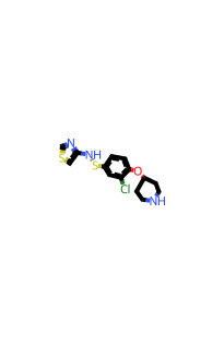 Clc1cc(SNc2cscn2)ccc1OC1CCNCC1